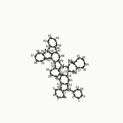 c1ccc(-n2c3ccccc3c3ccc(-c4nc5ccccc5nc4-n4c5ccccc5c5c6c7ccccc7n7c8ccccc8c(cc54)c67)cc32)cc1